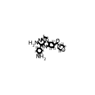 Nc1nn2ccnc2c(Nc2ccc(C(=O)N3CCOCC3)cc2)c1[C@H]1CC[C@@H](N)CC1